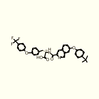 CC(C)(C)c1ccc(Oc2ccc3cc(C(=O)N[C@@H](Cc4ccc(Oc5ccc(C(F)(F)F)cc5)cc4)C(=O)O)ncc3c2)cc1